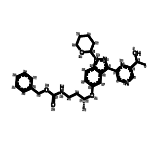 CC(O)c1cncc(-c2nn(C3CCCCO3)c3ccc(O[C@H](C)CCNC(=O)OCc4ccccc4)cc23)n1